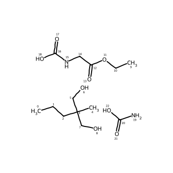 CCCC(C)(CO)CO.CCOC(=O)CNC(=O)O.NC(=O)O